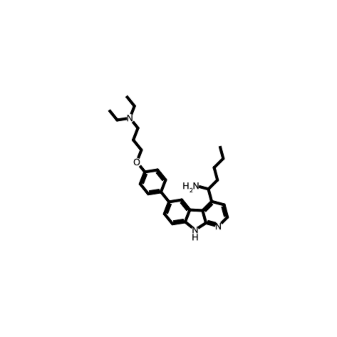 CCCCC(N)c1ccnc2[nH]c3ccc(-c4ccc(OCCCN(CC)CC)cc4)cc3c12